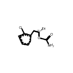 CC[C@@H](Cc1ccccc1Cl)OC(N)=O